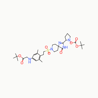 Cc1cc(NCC(=O)OC(C)(C)C)cc(C)c1CCS(=O)(=O)N1CCC2(CC1)N=C(C1CCCN1OC(=O)OC(C)(C)C)NC2=O